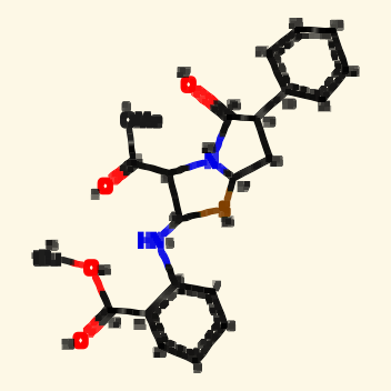 COC(=O)C1C(Nc2ccccc2C(=O)OC(C)(C)C)SC2CC(c3ccccc3)C(=O)N21